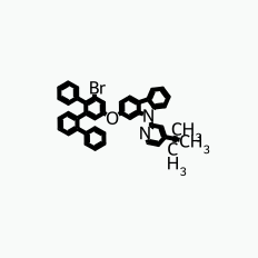 CC(C)(C)c1ccnc(-n2c3ccccc3c3ccc(Oc4cc(Br)c(-c5ccccc5)c(-c5ccccc5-c5ccccc5)c4)cc32)c1